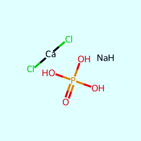 O=P(O)(O)O.[Cl][Ca][Cl].[NaH]